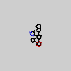 c1ccc(-c2ccccc2-c2c(-c3ccccc3)ccc(-c3cc4ccccc4[se]3)c2-c2ccnnn2)cc1